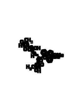 COc1cccc(C(OC[C@H]2O[C@@H](n3cc(C)c(=O)[nH]c3=O)C[C@@H]2CCCNC2OC(n3cc(C)c(=O)[nH]c3=O)CC2O)(c2ccccc2)c2ccccc2)c1OC